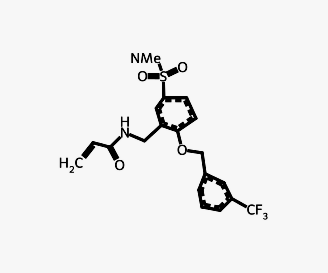 C=CC(=O)NCc1cc(S(=O)(=O)NC)ccc1OCc1cccc(C(F)(F)F)c1